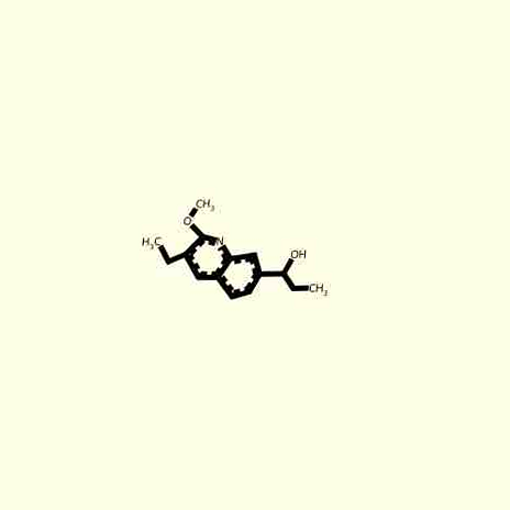 CCc1cc2ccc(C(O)CC)cc2nc1OC